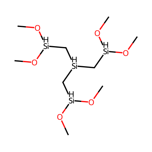 CO[SiH](C[SiH](C[SiH](OC)OC)C[SiH](OC)OC)OC